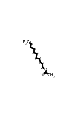 CC(=S)OCCCCCCCCCCC(F)(F)F